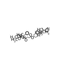 CC(c1ccccc1)N(CC(=O)OC(C)(C)C)C(=O)CCC(=O)O[C@H]1CC[C@@]2(C)C(=CC[C@@H]3[C@@H]2CC[C@]2(C)C(c4cccnc4)=CC[C@@H]32)C1